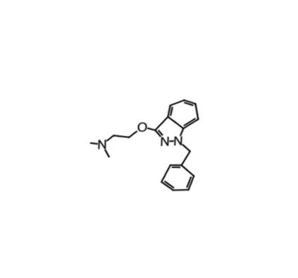 CN(C)CCOc1nn(Cc2ccccc2)c2ccccc12